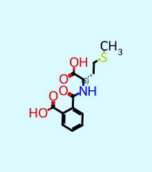 CSCC[C@H](NC(=O)c1ccccc1C(=O)O)C(=O)O